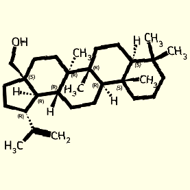 C=C(C)[C@@H]1CC[C@]2(CO)CC[C@]3(C)[C@H](CC[C@@H]4[C@@]5(C)CCCC(C)(C)[C@@H]5CC[C@]43C)[C@@H]12